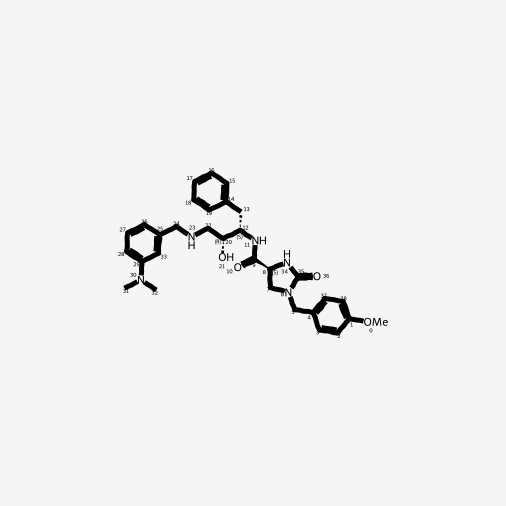 COc1ccc(CN2C[C@@H](C(=O)N[C@@H](Cc3ccccc3)[C@H](O)CNCc3cccc(N(C)C)c3)NC2=O)cc1